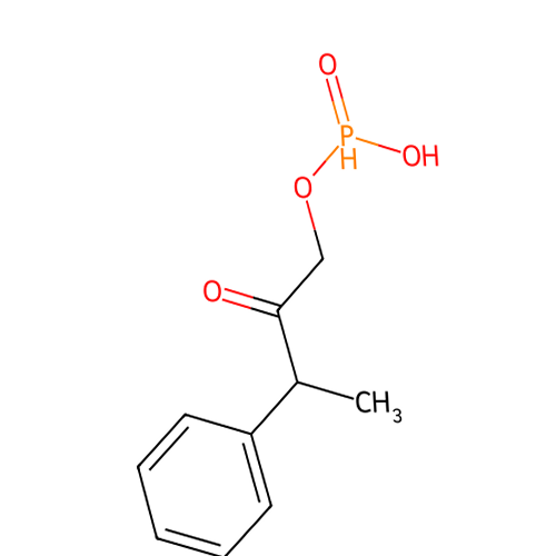 CC(C(=O)CO[PH](=O)O)c1ccccc1